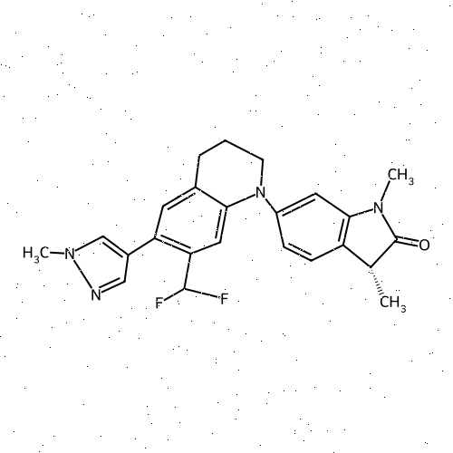 C[C@H]1C(=O)N(C)c2cc(N3CCCc4cc(-c5cnn(C)c5)c(C(F)F)cc43)ccc21